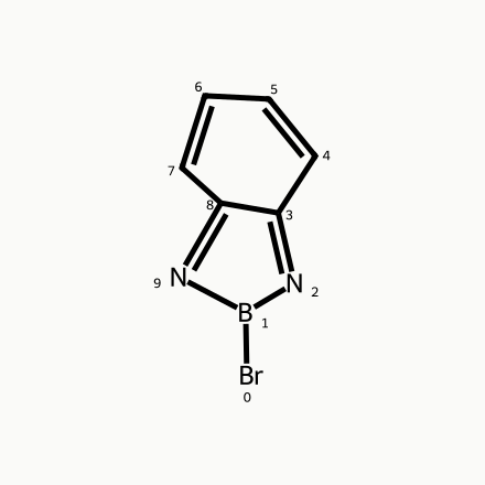 BrB1N=c2ccccc2=N1